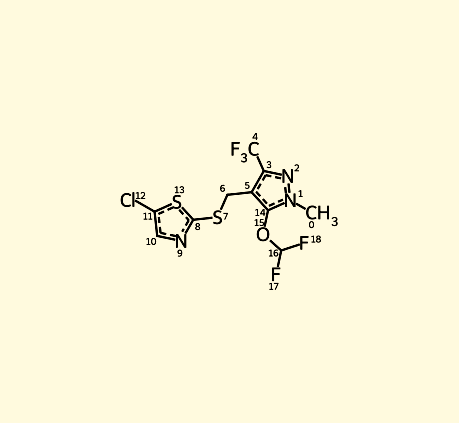 Cn1nc(C(F)(F)F)c(CSc2ncc(Cl)s2)c1OC(F)F